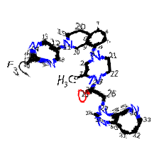 CC1CN(c2cccc3c2CN(c2cnc(C(F)(F)F)nc2)CC3)CCN1C(=O)Cn1cnc2cccnc21